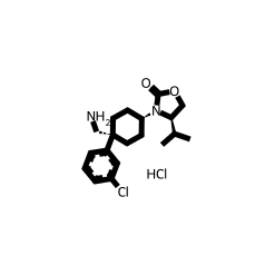 CC(C)[C@@H]1COC(=O)N1[C@H]1CC[C@](CN)(c2cccc(Cl)c2)CC1.Cl